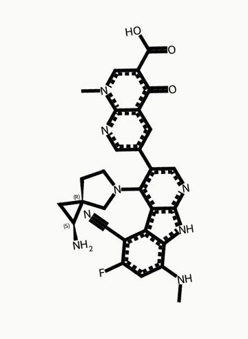 CNc1cc(F)c(C#N)c2c1[nH]c1ncc(-c3cnc4c(c3)c(=O)c(C(=O)O)cn4C)c(N3CC[C@@]4(C[C@@H]4N)C3)c12